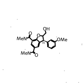 CNC(=O)c1cc(C(=O)NC)c2c(c1)[C@H](c1cccc(OC)c1)C(CO)O2